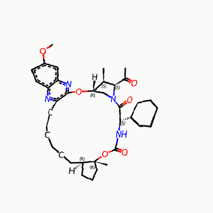 COc1ccc2nc3c(nc2c1)O[C@H]1CN(C(=O)[C@H](C2CCCCC2)NC(=O)O[C@]2(C)CCC[C@H]2CCCCCC3)[C@H](C(C)=O)[C@@H]1C